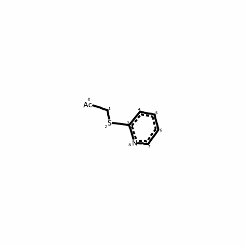 CC(=O)CSc1ccccn1